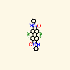 O=c1c2cc(F)c3c4c(F)cc5c6c(cc(F)c(c7c(F)cc(c2c37)c2nc3ccccc3n12)c46)c(=O)n1c2ccccc2nc51